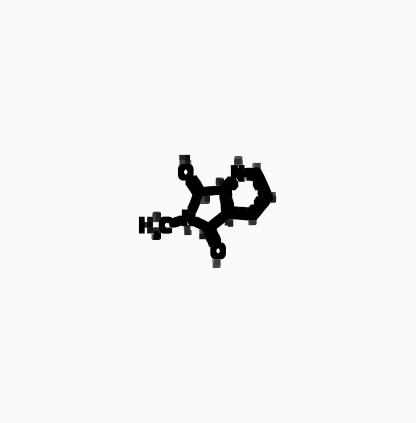 CN1C(=O)c2cccnc2C1=O